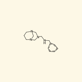 c1ccc(CNCN2CN3CCCN(C3)C2)cc1